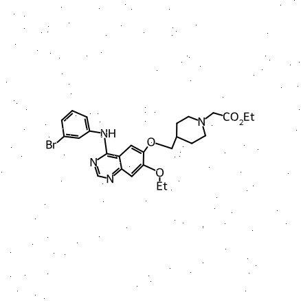 CCOC(=O)CN1CCC(COc2cc3c(Nc4cccc(Br)c4)ncnc3cc2OCC)CC1